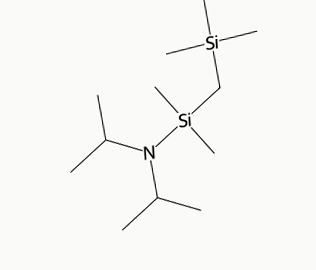 CC(C)N(C(C)C)[Si](C)(C)C[Si](C)(C)C